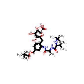 CC(NC(=O)C(NC(C)(C)C)C(C)C)C(=O)Nc1cc(COC(=O)C(C)(C)C)ccc1CC1O[C@H](C(=O)O)[C@@H](O)[C@H](O)[C@H]1O